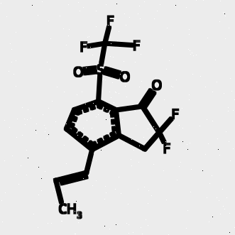 CC=Cc1ccc(S(=O)(=O)C(F)(F)F)c2c1CC(F)(F)C2=O